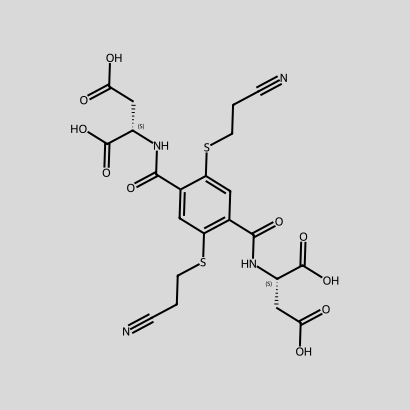 N#CCCSc1cc(C(=O)N[C@@H](CC(=O)O)C(=O)O)c(SCCC#N)cc1C(=O)N[C@@H](CC(=O)O)C(=O)O